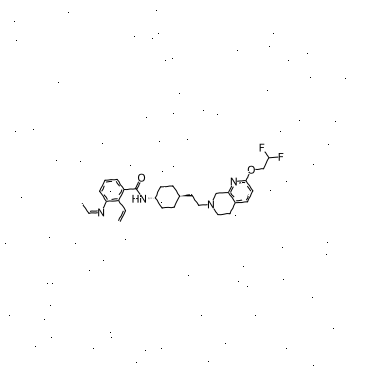 C=Cc1c(/N=C\C)cccc1C(=O)N[C@H]1CC[C@H](CCN2CCc3ccc(OCC(F)F)nc3C2)CC1